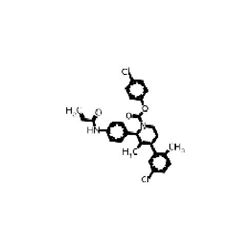 C=CC(=O)Nc1ccc(C2C(C)=C(c3cc(Cl)ccc3C)CCN2C(=O)Oc2ccc(Cl)cc2)cc1